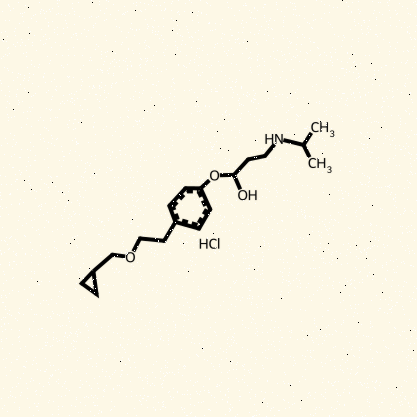 CC(C)NCCC(O)Oc1ccc(CCOCC2CC2)cc1.Cl